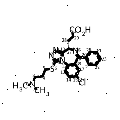 CN(C)CCCSc1nnc2n1-c1ccc(Cl)cc1C(c1ccccc1)=N[C@H]2CCC(=O)O